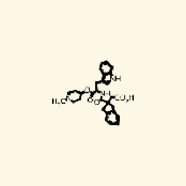 CN1CCC(OC(=O)C(Cc2c[nH]c3ccccc23)NC(=O)C2(CC(=O)O)Cc3ccccc3C2)CC1